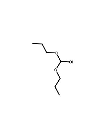 CCCO[C](O)OCCC